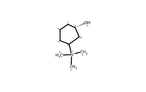 C[N+](C)(C)[C]1CCC[C@H](O)C1